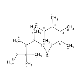 CCC(C)(P)C(C)C(C)C1SC1C(C)C(C)C(C)C(C)C